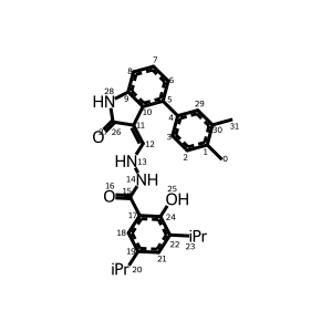 Cc1ccc(-c2cccc3c2C(=CNNC(=O)c2cc(C(C)C)cc(C(C)C)c2O)C(=O)N3)cc1C